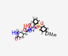 COc1ccc(S(=O)(=O)c2ccccc2CN(O)NC(=O)CC2CCNC(=O)CC2)cc1